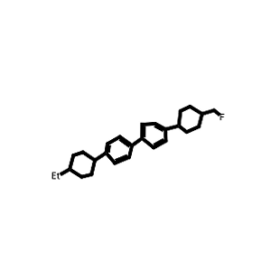 CCC1CCC(c2ccc(-c3ccc(C4CCC(CF)CC4)cc3)cc2)CC1